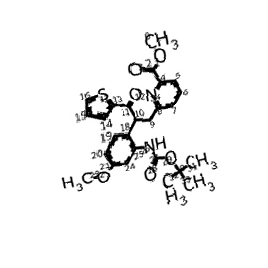 COC(=O)c1cccc(CC(C(=O)c2cccs2)c2ccc(OC)cc2NC(=O)OC(C)(C)C)n1